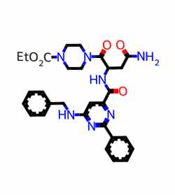 CCOC(=O)N1CCN(C(=O)C(CC(N)=O)NC(=O)c2cc(NCc3ccccc3)nc(-c3ccccc3)n2)CC1